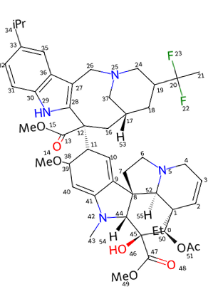 CC[C@]12C=CCN3CC[C@@]4(C5=CC([C@@]6(C(=O)OC)C[C@H]7CC(C(C)(F)F)CN(Cc8c6[nH]c6ccc(C(C)C)cc86)C7)C(OC)C=C5N(C)[C@H]4[C@@](O)(C(=O)OC)[C@@H]1OC(C)=O)[C@@H]32